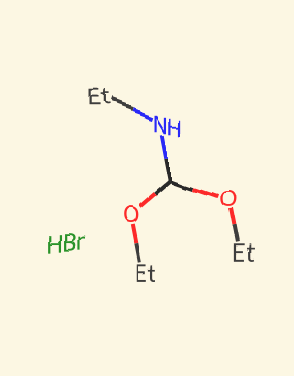 Br.CCNC(OCC)OCC